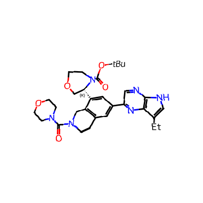 CCc1c[nH]c2ncc(-c3cc4c(c([C@@H]5COCCN5C(=O)OC(C)(C)C)c3)CN(C(=O)N3CCOCC3)CC4)nc12